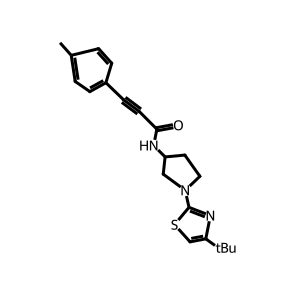 Cc1ccc(C#CC(=O)NC2CCN(c3nc(C(C)(C)C)cs3)C2)cc1